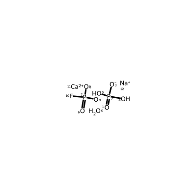 O.O=P([O-])(O)O.O=P([O-])([O-])F.[Ca+2].[Na+]